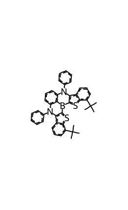 CC(C)(C)c1cccc2c3c(sc12)B1c2sc4c(C(C)(C)C)cccc4c2N(c2ccccc2)c2cccc(c21)N3c1ccccc1